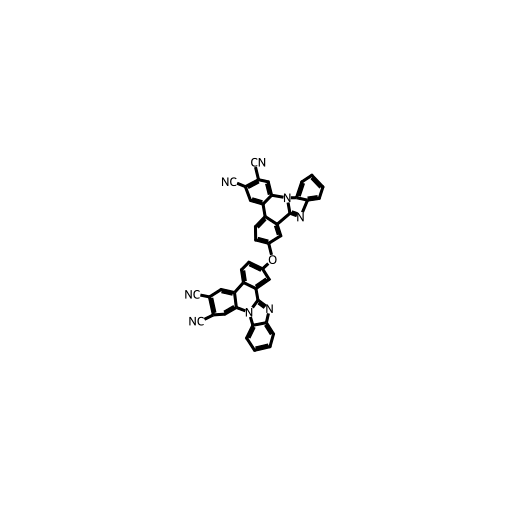 N#Cc1cc2c3ccc(Oc4ccc5c6cc(C#N)c(C#N)cc6n6c7ccccc7nc6c5c4)cc3c3nc4ccccc4n3c2cc1C#N